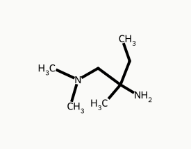 CCC(C)(N)CN(C)C